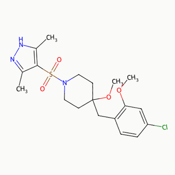 COc1cc(Cl)ccc1CC1(OC)CCN(S(=O)(=O)c2c(C)n[nH]c2C)CC1